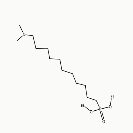 CCOP(=O)(CCCCCCCCCCCN(C)C)OCC